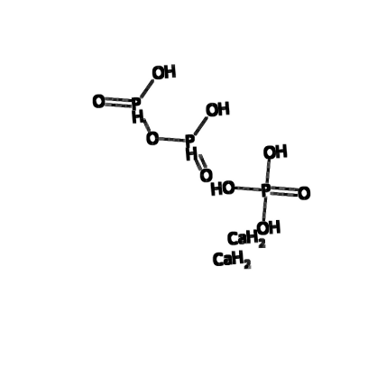 O=P(O)(O)O.O=[PH](O)O[PH](=O)O.[CaH2].[CaH2]